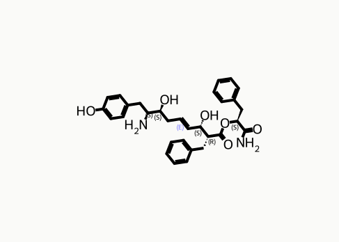 NC(=O)[C@H](Cc1ccccc1)OC(=O)[C@H](Cc1ccccc1)[C@@H](O)/C=C/C[C@H](O)[C@@H](N)Cc1ccc(O)cc1